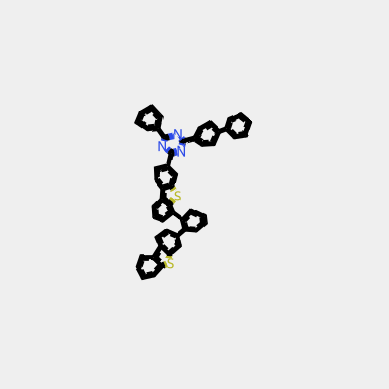 c1ccc(-c2ccc(-c3nc(-c4ccccc4)nc(-c4ccc5c(c4)sc4c(-c6ccccc6-c6ccc7c(c6)sc6ccccc67)cccc45)n3)cc2)cc1